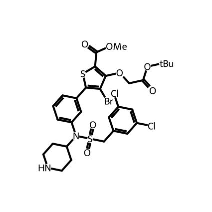 COC(=O)c1sc(-c2cccc(N(C3CCNCC3)S(=O)(=O)Cc3cc(Cl)cc(Cl)c3)c2)c(Br)c1OCC(=O)OC(C)(C)C